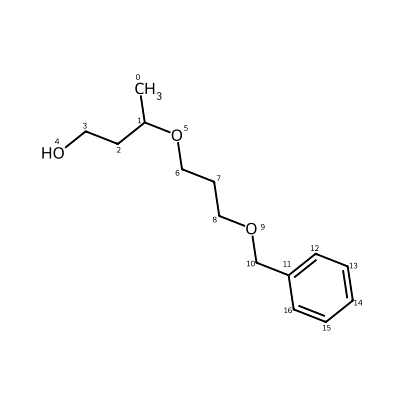 CC(CCO)OCCCOCc1ccccc1